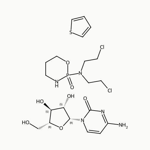 Nc1ccn([C@@H]2O[C@H](CO)[C@@H](O)[C@@H]2O)c(=O)n1.O=P1(N(CCCl)CCCl)NCCCO1.c1ccsc1